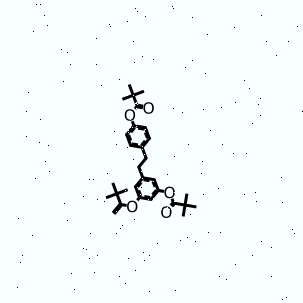 C=C(Oc1cc(CCc2ccc(OC(=O)C(C)(C)C)cc2)cc(OC(=O)C(C)(C)C)c1)C(C)(C)C